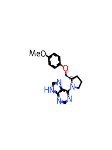 COc1ccc(OC[C@H]2CCCN2c2ncnc3[nH]cnc23)cc1